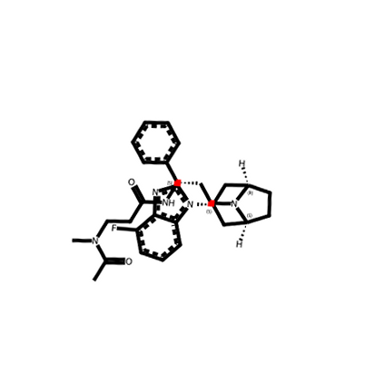 CC(=O)N(C)CCC(=O)N[C@@H](CCN1[C@@H]2CC[C@H]1C[C@H](n1cnc3c(F)cccc31)C2)c1ccccc1